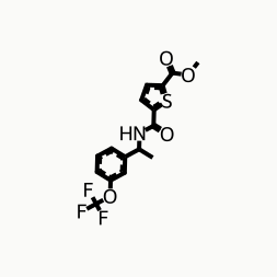 COC(=O)c1ccc(C(=O)NC(C)c2cccc(OC(F)(F)F)c2)s1